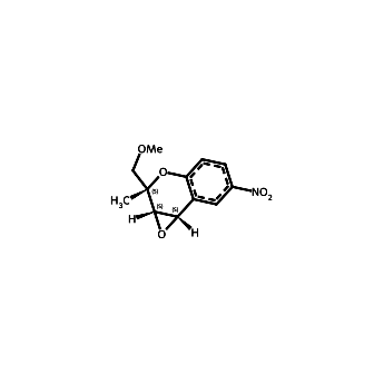 COC[C@]1(C)Oc2ccc([N+](=O)[O-])cc2[C@@H]2O[C@@H]21